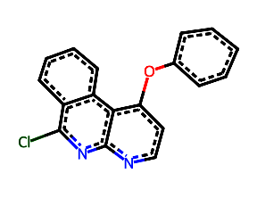 Clc1nc2nccc(Oc3ccccc3)c2c2ccccc12